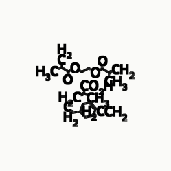 C=C.C=C(C)C(=O)O.C=C(C)C(=O)OCCOC(=O)C(=C)C.C=Cc1ccccc1